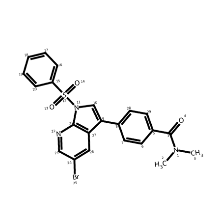 CN(C)C(=O)c1ccc(-c2cn(S(=O)(=O)c3ccccc3)c3ncc(Br)cc23)cc1